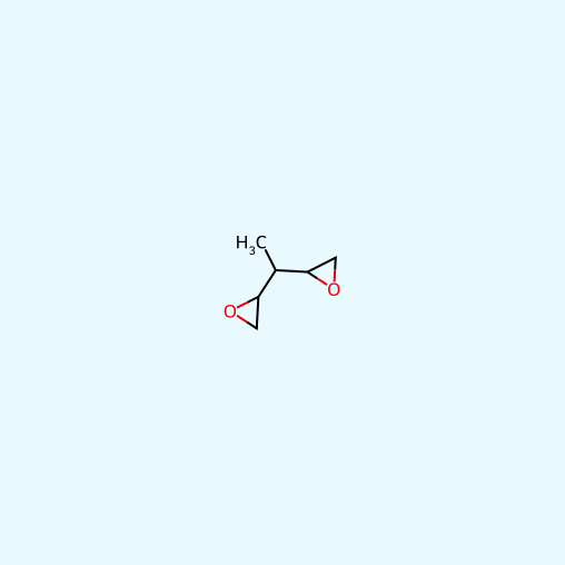 CC(C1CO1)C1CO1